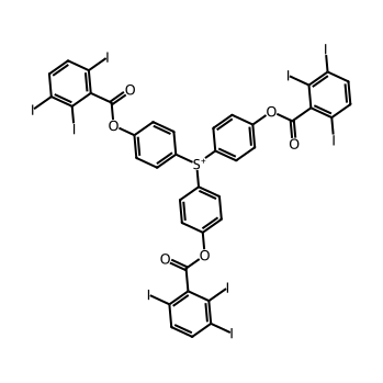 O=C(Oc1ccc([S+](c2ccc(OC(=O)c3c(I)ccc(I)c3I)cc2)c2ccc(OC(=O)c3c(I)ccc(I)c3I)cc2)cc1)c1c(I)ccc(I)c1I